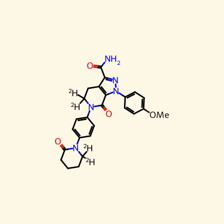 [2H]C1([2H])CCCC(=O)N1c1ccc(N2C(=O)c3c(c(C(N)=O)nn3-c3ccc(OC)cc3)CC2([2H])[2H])cc1